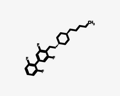 CCCCC[C@H]1CC[C@H](CCc2c(F)cc(-c3c(F)cccc3F)cc2F)CC1